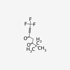 CC(C)(C)C(=O)CC(=O)C#CC(F)(F)F